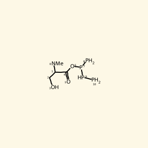 CNC(CO)C(=O)OP(P)PP